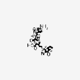 Nc1nc(C(=NO)C(=O)NC2C(=O)N3C(C(=O)O)=C(C=CSc4sc5ccsc5c(=O)c4Br)CS[C@@H]23)cs1